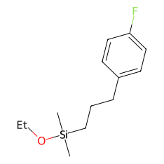 CCO[Si](C)(C)CCCc1ccc(F)cc1